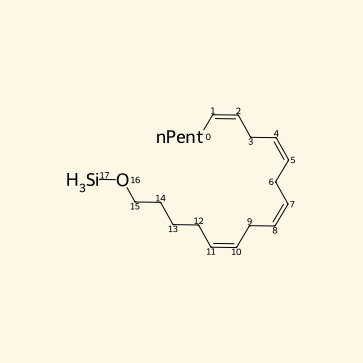 CCCCC/C=C\C/C=C\C/C=C\C/C=C\CCCCO[SiH3]